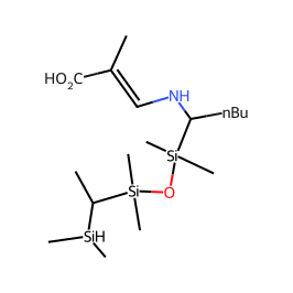 CCCCC(N/C=C(\C)C(=O)O)[Si](C)(C)O[Si](C)(C)C(C)[SiH](C)C